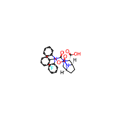 O=C(O)[C@@H]1[C@H]2CC[C@@H](CN1C(=O)N(c1ccccc1)c1ccccc1)N2C(=O)OCc1ccccc1F